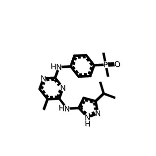 Cc1cnc(Nc2ccc(P(C)(C)=O)cc2)nc1Nc1cc(C(C)C)n[nH]1